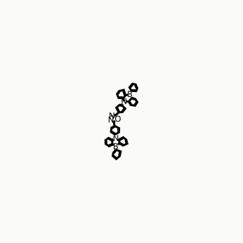 c1ccc(B2c3ccccc3N(c3ccc(-c4nnc(-c5ccc(N6c7ccccc7B(c7ccccc7)c7ccccc76)cc5)o4)cc3)c3ccccc32)cc1